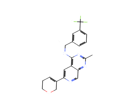 Cc1nc(N[C@H](C)c2cccc(C(F)(F)F)c2)c2cc(C3=CCCOC3)ncc2n1